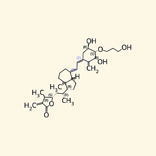 C=C1C(=O)O[C@@H](C[C@@H](C)[C@H]2CC[C@H]3/C(=C/C=C4/C[C@@H](O)[C@H](OCCCO)[C@H](O)C4=C)CCC[C@]23C)[C@@H]1C